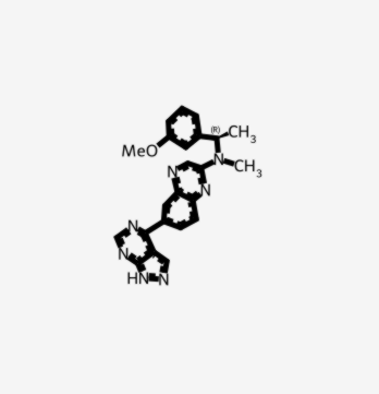 COc1cccc([C@@H](C)N(C)c2cnc3cc(-c4ncnc5[nH]ncc45)ccc3n2)c1